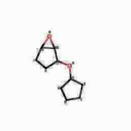 C1CCC(OC2CCC3OC23)C1